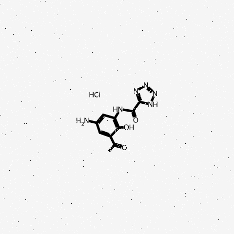 CC(=O)c1cc(N)cc(NC(=O)c2nnn[nH]2)c1O.Cl